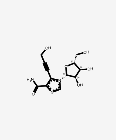 NC(=O)c1ncn([C@@H]2O[C@H](CO)[C@@H](O)[C@H]2O)c1C#CCO